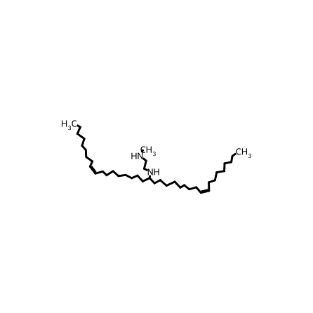 CCCCCCCC/C=C\CCCCCCCCC(CCCCCCCC/C=C\CCCCCCCC)NCCNC